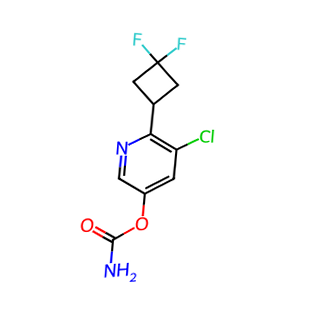 NC(=O)Oc1cnc(C2CC(F)(F)C2)c(Cl)c1